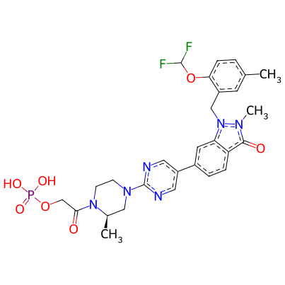 Cc1ccc(OC(F)F)c(Cn2c3cc(-c4cnc(N5CCN(C(=O)COP(=O)(O)O)[C@H](C)C5)nc4)ccc3c(=O)n2C)c1